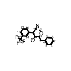 COC(Cc1ccccc1)C(=O)C(C#N)c1cccc(C(F)(F)F)c1